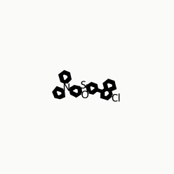 Clc1ccc(-c2ccc3c(c2)Oc2ccc(N(c4ccccc4)c4ccccc4)cc2S3)c2ccccc12